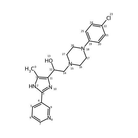 Cc1[nH]c(-c2cccnc2)nc1C(O)CN1CCN(c2ccc(Cl)cc2)CC1